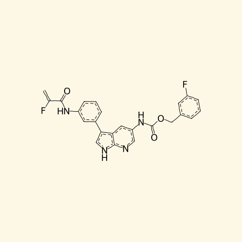 C=C(F)C(=O)Nc1cccc(-c2c[nH]c3ncc(NC(=O)OCc4cccc(F)c4)cc23)c1